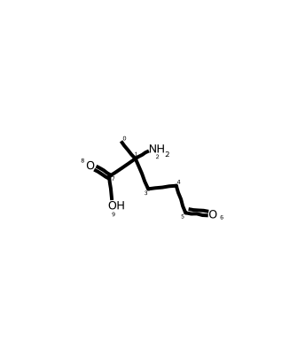 CC(N)(CCC=O)C(=O)O